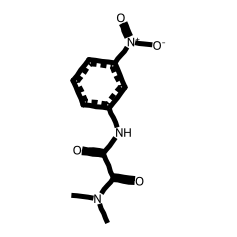 CN(C)C(=O)C(=O)Nc1cccc([N+](=O)[O-])c1